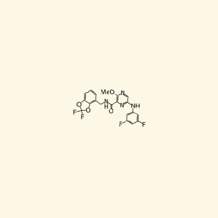 COc1ncc(Nc2cc(F)cc(F)c2)nc1C(=O)NCc1cccc2c1OC(F)(F)O2